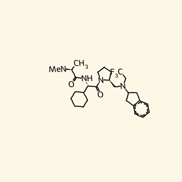 CN[C@@H](C)C(=O)N[C@H](C(=O)N1CCC[C@H]1CN(CC(F)(F)F)C1Cc2ccccc2C1)C1CCCCC1